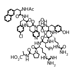 CC(=O)N[C@H](Cc1ccc2ccccc2c1)C(=O)N[C@H](Cc1ccc(Cl)cc1)C(=O)N[C@H](Cc1cccnc1)C(=O)N[C@@H](CO)C(=O)N[C@@H](Cc1ccc(O)cc1)C(=O)N[C@H](CCCNC(N)=O)C(=O)N[C@@H](CC(C)C)C(=O)N[C@@H](CCCNC(=N)N)C(=O)N1CCC[C@H]1C(=O)N[C@H](C)C(=O)O